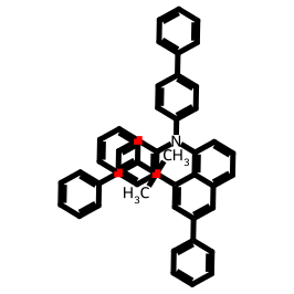 CC(C)(c1ccccc1)c1cc(-c2ccccc2)cc2cccc(N(c3ccc(-c4ccccc4)cc3)c3ccc(-c4ccccc4)cc3)c12